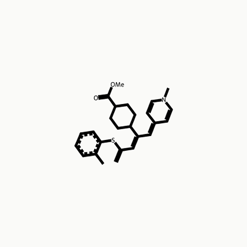 C=C(/C=C(/C=C1C=CN(C)C=C1)C1CCC(C(=O)OC)CC1)Sc1ccccc1C